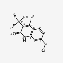 O=c1[nH]c2cc(CCl)ccc2c(F)c1C(F)(F)F